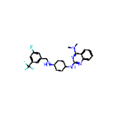 CN(C)c1nc(NC2CCC(NCc3cc(F)cc(C(F)(F)F)c3)CC2)nc2ccccc12